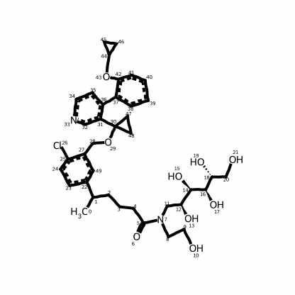 CC(CCCC(=O)N(CCO)C[C@H](O)[C@@H](O)[C@H](O)[C@H](O)CO)c1ccc(Cl)c(COC2(c3cnccc3-c3ccccc3OC3CC3)CC2)c1